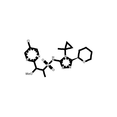 COC(c1ncc(Cl)cn1)C(C)S(=O)(=O)Nc1nnc([C@H]2CCCCO2)n1C1(C)CC1